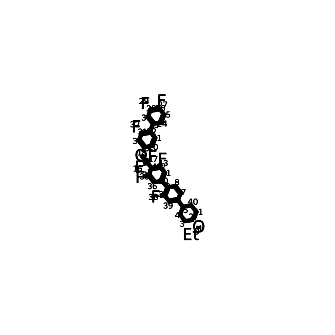 CCOC1CCC(c2ccc(-c3cc(F)c(C(F)(F)Oc4ccc(-c5ccc(F)c(F)c5)c(F)c4)c(F)c3)c(F)c2)CC1